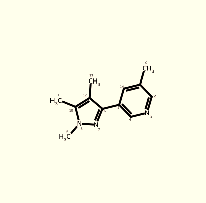 Cc1cncc(-c2nn(C)c(C)c2C)c1